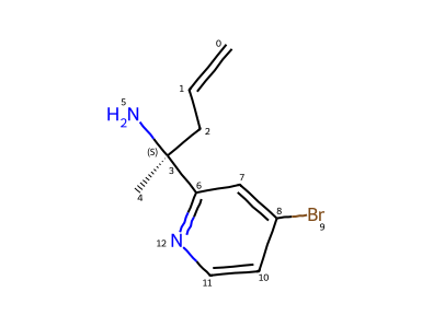 C=CC[C@](C)(N)c1cc(Br)ccn1